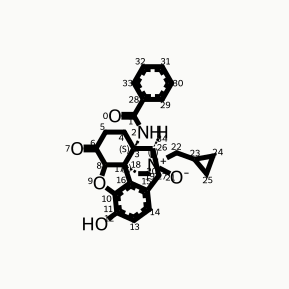 O=C(N[C@@]12CCC(=O)C3Oc4c(O)ccc5c4[C@@]31CC[N+]([O-])(CC1CC1)[C@@H]2C5)c1ccccc1